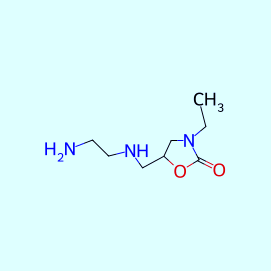 CCN1CC(CNCCN)OC1=O